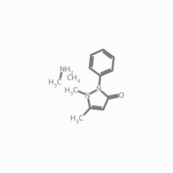 C.CN.Cc1cc(=O)n(-c2ccccc2)n1C